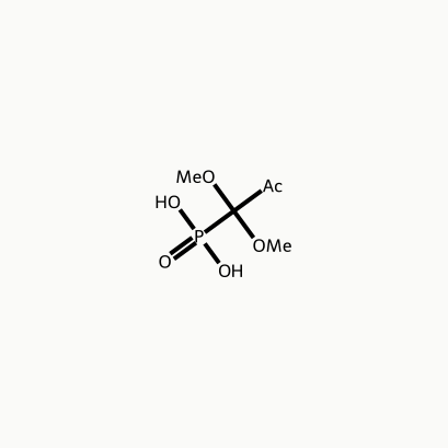 COC(OC)(C(C)=O)P(=O)(O)O